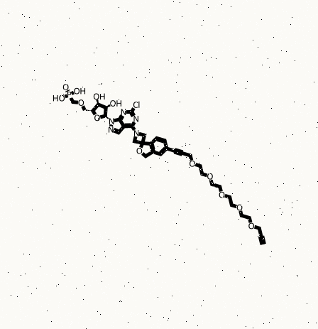 C#CCOCCOCCOCCOCCOCC#Cc1ccc2c(c1)COC21CN(c2nc(Cl)nc3c2cnn3[C@@H]2O[C@H](COCP(=O)(O)O)[C@@H](O)[C@H]2O)C1